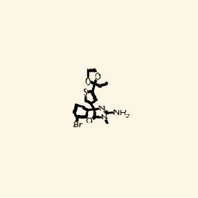 CCC1(c2cc(C3(c4cccc(Br)c4)N=C(N)N(C)C3=O)cs2)OCCO1